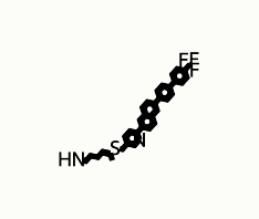 C/C(=C\CCC=N)SCc1ccc(-c2ccc3cc(-c4ccc(-c5ccc(C(F)(F)F)cc5)cc4)ccc3c2)nc1